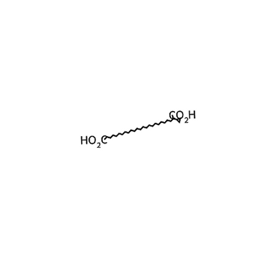 O=C(O)CCCCCCCCCCCCCCCCCCCCCCC(C(=O)O)C1CC1